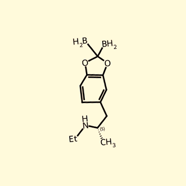 BC1(B)Oc2ccc(C[C@H](C)NCC)cc2O1